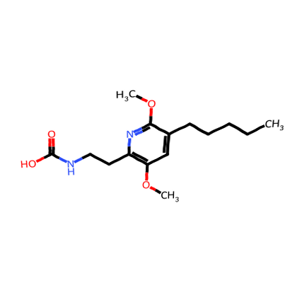 CCCCCc1cc(OC)c(CCNC(=O)O)nc1OC